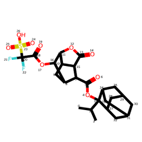 CC(C)C1(OC(=O)C2C3CC4C(OC(=O)C42)C3OC(=O)C(F)(F)S(=O)(=O)O)C2CC3CC(C2)CC1C3